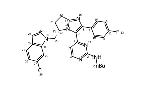 CCCCNc1nccc(-c2c(-c3ccc(F)cc3)nc3n2[C@H](Cn2ccc4ccc(Cl)cc42)CC3)n1